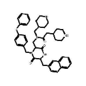 O=C1NC(Cc2ccc3ccccc3c2)C(=O)N(Cc2ccc(Oc3ccccc3)cc2)C1CN(CC1CCNCC1)C(=O)CC1CCNCC1